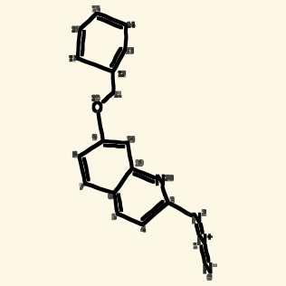 [N-]=[N+]=Nc1ccc2ccc(OCc3ccccc3)cc2n1